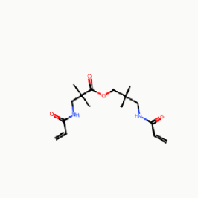 C=CC(=O)NCC(C)(C)COC(=O)C(C)(C)CNC(=O)C=C